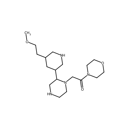 COCCC1CNCC(C2CNCCN2CC(=O)N2CCOCC2)C1